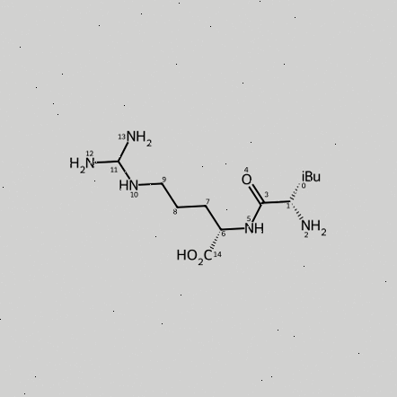 CC[C@@H](C)[C@H](N)C(=O)N[C@@H](CCCNC(N)N)C(=O)O